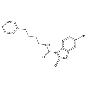 O=C(NCCCCc1ccccc1)n1c(=O)oc2cc(Br)ccc21